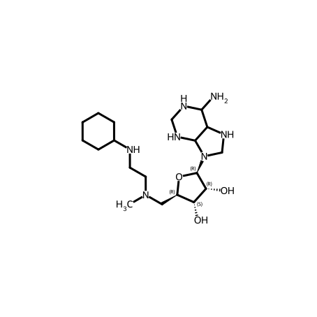 CN(CCNC1CCCCC1)C[C@H]1O[C@@H](N2CNC3C(N)NCNC32)[C@H](O)[C@@H]1O